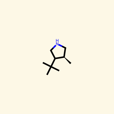 C[C@@H]1CNCC1C(C)(C)C